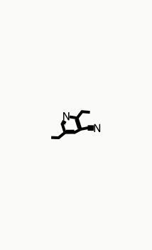 CCc1cnc(CC)c(C#N)c1